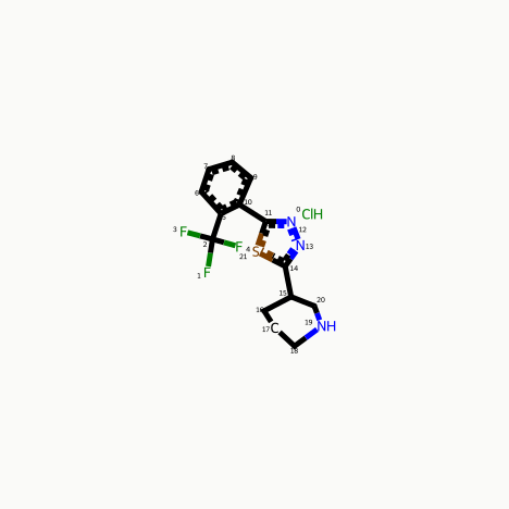 Cl.FC(F)(F)c1ccccc1-c1nnc(C2CCCNC2)s1